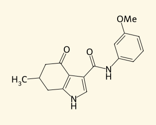 COc1cccc(NC(=O)c2c[nH]c3c2C(=O)CC(C)C3)c1